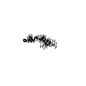 CC(C)OC(=O)OCOP(=O)(O)CP(=O)(OCOC(=O)OC(C)C)OC[C@@H]1CC[C@H](n2ncc3c(NC4CCCC4)nc(Cl)nc32)O1